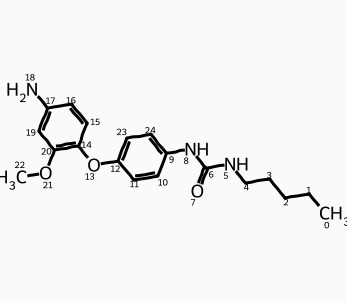 CCCCCNC(=O)Nc1ccc(Oc2ccc(N)cc2OC)cc1